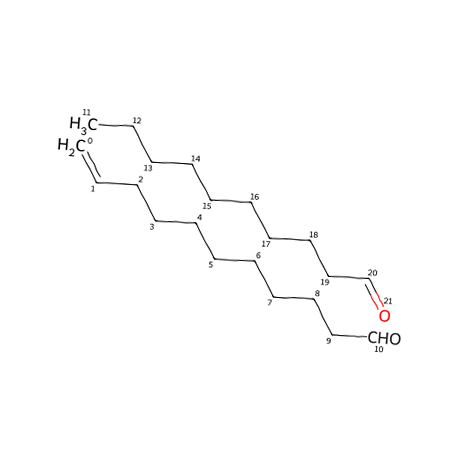 C=CCCCCCCCCC=O.CCCCCCCCCC=O